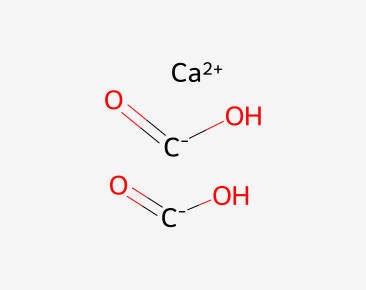 O=[C-]O.O=[C-]O.[Ca+2]